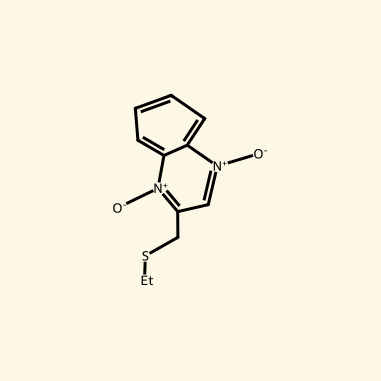 CCSCc1c[n+]([O-])c2ccccc2[n+]1[O-]